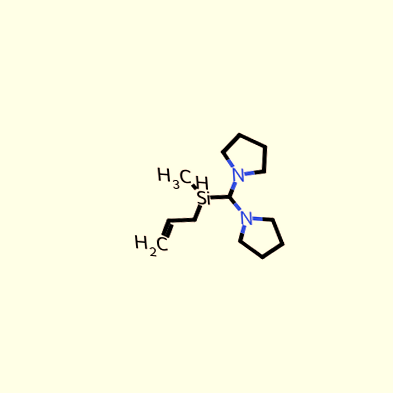 C=CC[SiH](C)C(N1CCCC1)N1CCCC1